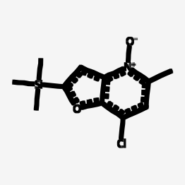 Cc1cc(Cl)c2oc([Si](C)(C)C)cc2[n+]1[O-]